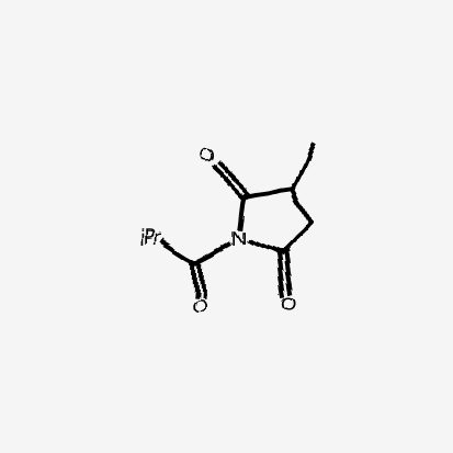 CC(C)C(=O)N1C(=O)CC(C)C1=O